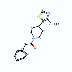 CCOC(=O)c1ncsc1C1CCN(C(=O)Cc2ccccc2)CC1